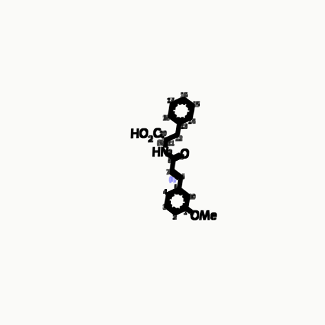 COc1cccc(/C=C/C(=O)N[C@@H](Cc2ccccc2)C(=O)O)c1